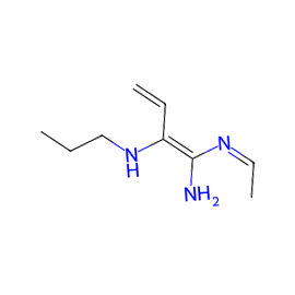 C=C/C(NCCC)=C(N)\N=C/C